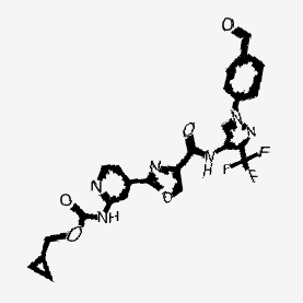 O=Cc1ccc(-n2cc(NC(=O)c3coc(-c4ccnc(NC(=O)OCC5CC5)c4)n3)c(C(F)(F)F)n2)cc1